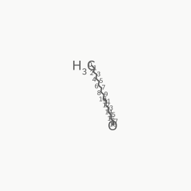 CCCCCCCCCCC=CCCCCC[C]=O